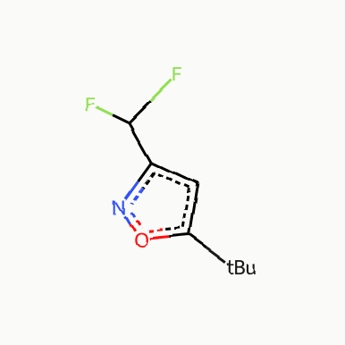 CC(C)(C)c1cc(C(F)F)no1